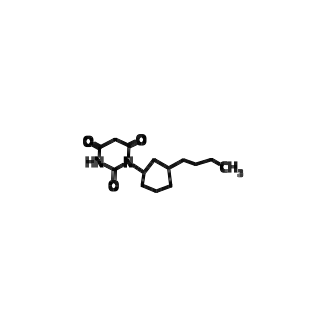 CCCCC1CCCC(N2C(=O)CC(=O)NC2=O)C1